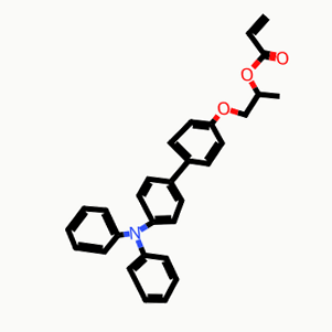 C=CC(=O)OC(C)COc1ccc(-c2ccc(N(c3ccccc3)c3ccccc3)cc2)cc1